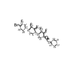 Fc1cc(-c2ccc(-c3ccc(OCc4ccccc4)c(F)c3F)c(F)c2F)ccc1Br